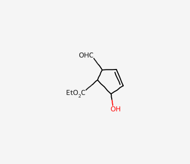 CCOC(=O)C1C(O)C=CC1C=O